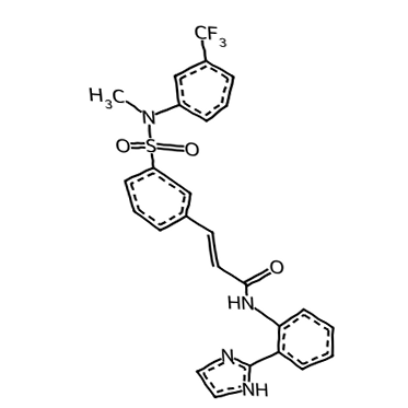 CN(c1cccc(C(F)(F)F)c1)S(=O)(=O)c1cccc(/C=C/C(=O)Nc2ccccc2-c2ncc[nH]2)c1